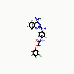 CN(C)c1nc(N[C@H]2CC[C@@H](NC(=O)COc3cccc(Cl)c3)CC2)nc2c1CCCC2